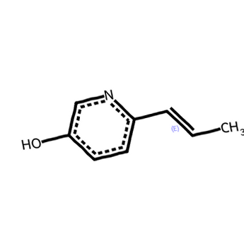 C/C=C/c1ccc(O)cn1